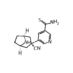 N#C[C@@]1(c2cncc(C(N)=S)c2)C[C@H]2CC[C@@H](C1)N2